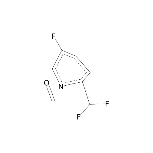 C=O.Fc1ccc(C(F)F)nc1